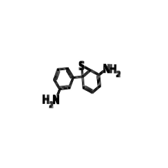 NC1=CC=CC2(c3cccc(N)c3)SC12